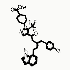 O=C(CC(CCc1cccc2cc[nH]c12)Cc1ccc(Cl)cc1)c1cnn(C2CCC(C(=O)O)CC2)c1C(F)(F)F